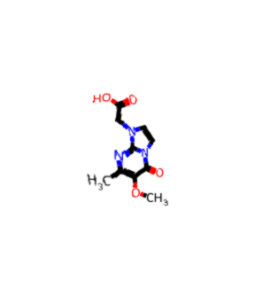 COc1c(C)nc2n(CC(=O)O)ccn2c1=O